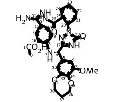 CC(=O)O.COc1cc([C@H](Nc2ccc(C(=N)N)cc2)c2nn(-c3ccccc3C(N)=O)c(=O)[nH]2)cc2c1OCCCO2